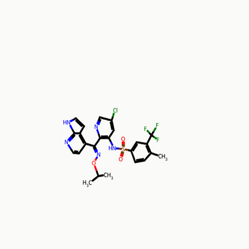 Cc1ccc(S(=O)(=O)Nc2cc(Cl)cnc2/C(=N/OC(C)C)c2ccnc3[nH]ccc23)cc1C(F)(F)F